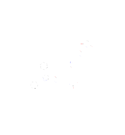 CC(C)(C)C1C(CN(C(=O)CSCCC(=O)NCCNC(=O)CN2C(=O)C=CC2=O)[C@@H](c2cc(-c3cc(F)ccc3F)cn2Cc2ccccc2)C(C)(C)C)CCN1C(=O)O